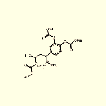 COC(=O)Oc1ccc(C(CC(C)OC(=O)OC(C)C)[C@H](N)C(=O)O)cc1OC(=O)OC